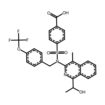 Cc1c(N(Cc2ccc(OC(F)(F)F)cc2)S(=O)(=O)c2ccc(C(=O)O)cc2)nc(C(C)O)c2ccccc12